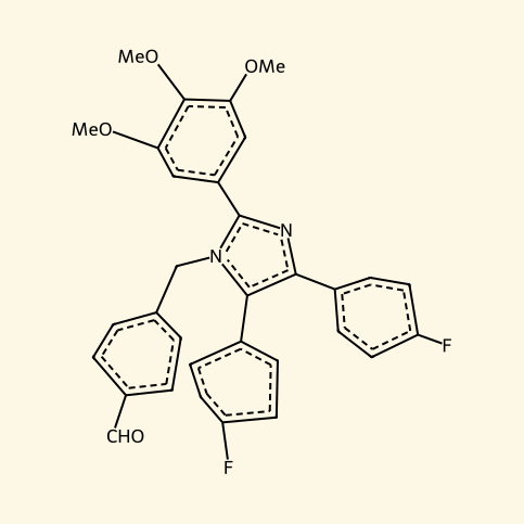 COc1cc(-c2nc(-c3ccc(F)cc3)c(-c3ccc(F)cc3)n2Cc2ccc(C=O)cc2)cc(OC)c1OC